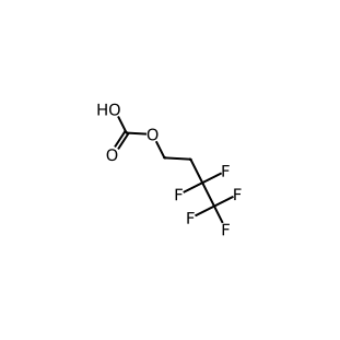 O=C(O)OCCC(F)(F)C(F)(F)F